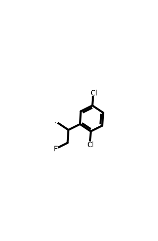 [CH2]C(CF)c1cc(Cl)ccc1Cl